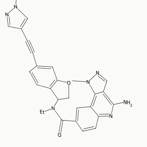 CCN(C(=O)c1ccc2nc(N)c3cnn(C)c3c2c1)C1COc2cc(C#Cc3cnn(C)c3)ccc21